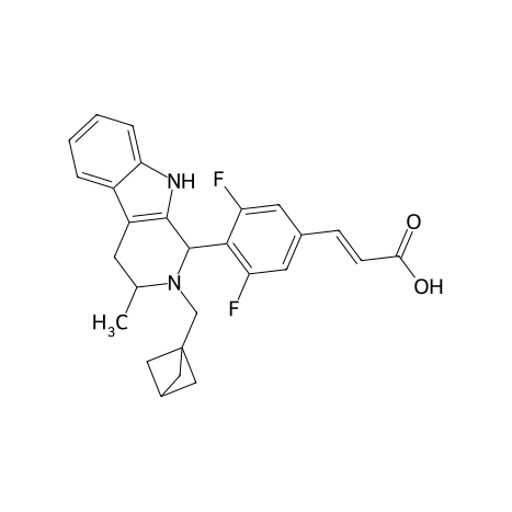 CC1Cc2c([nH]c3ccccc23)C(c2c(F)cc(/C=C/C(=O)O)cc2F)N1CC12CC(C1)C2